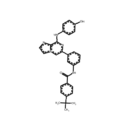 CC(C)(C)c1ccc(C(=O)Nc2cccc(-c3cn4ccnc4c(Nc4ccc(O)cc4)n3)c2)cc1